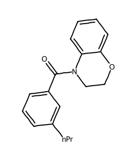 CCCc1cccc(C(=O)N2CCOc3ccccc32)c1